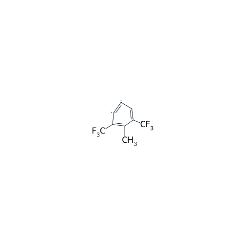 Cc1c(C(F)(F)F)[c][c]cc1C(F)(F)F